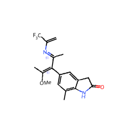 C=C(/N=C(C)/C(=C(\C)OC)c1cc(C)c2c(c1)CC(=O)N2)C(F)(F)F